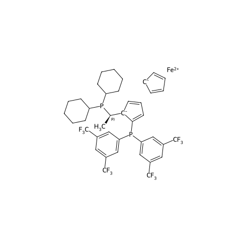 C[C@H]([c-]1cccc1P(c1cc(C(F)(F)F)cc(C(F)(F)F)c1)c1cc(C(F)(F)F)cc(C(F)(F)F)c1)P(C1CCCCC1)C1CCCCC1.[Fe+2].c1cc[cH-]c1